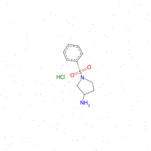 Cl.NC1CCN(S(=O)(=O)c2ccccc2)C1